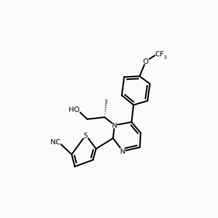 C[C@@H](CO)N1C(c2ccc(OC(F)(F)F)cc2)=CC=NC1c1ccc(C#N)s1